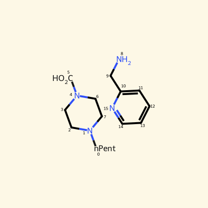 CCCCCN1CCN(C(=O)O)CC1.NCc1ccccn1